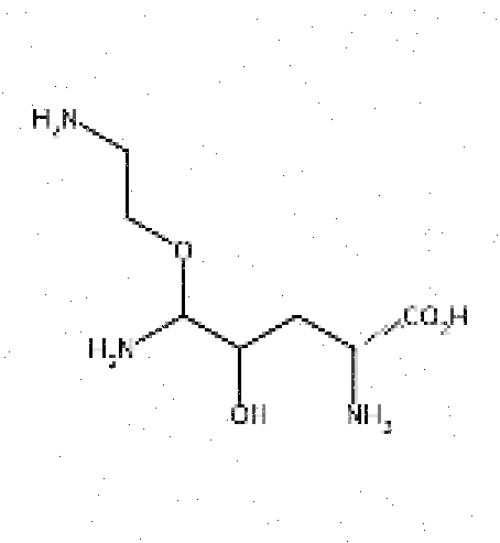 NCCOC(N)C(O)C[C@@H](N)C(=O)O